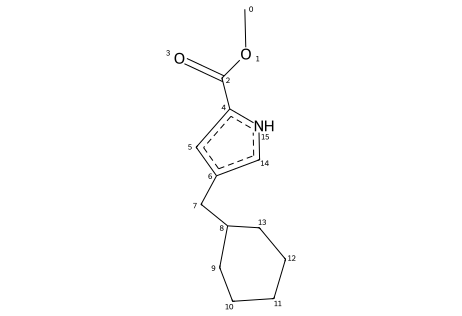 COC(=O)c1cc(CC2CCCCC2)c[nH]1